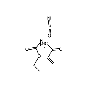 C=CC(=O)O.CCOC(N)=O.N=C=O